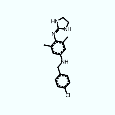 Cc1cc(NCc2ccc(Cl)cc2)cc(C)c1N=C1NCCN1